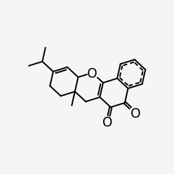 CC(C)C1=CC2OC3=C(CC2(C)CC1)C(=O)C(=O)c1ccccc13